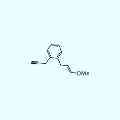 C#CCc1ccccc1CC=COC